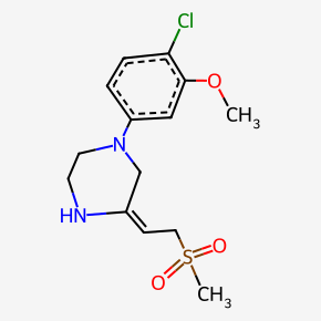 COc1cc(N2CCN/C(=C/CS(C)(=O)=O)C2)ccc1Cl